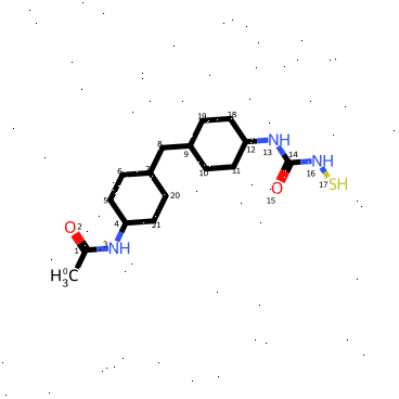 CC(=O)NC1CCC(CC2CCC(NC(=O)NS)CC2)CC1